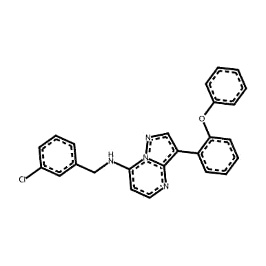 Clc1cccc(CNc2ccnc3c(-c4ccccc4Oc4ccccc4)cnn23)c1